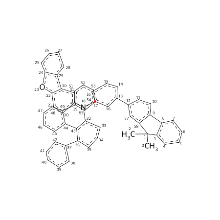 CC1(C)c2ccccc2-c2ccc(-c3cccc(N(c4ccc5oc6ccccc6c5c4)c4cccc(-c5ccccc5)c4-c4ccccc4-c4ccccc4)c3)cc21